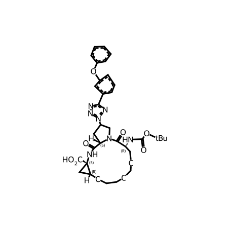 CC(C)(C)OC(=O)N[C@@H]1CCCCCCC[C@@H]2C[C@]2(C(=O)O)NC(=O)[C@@H]2CC(n3nnc(-c4cccc(Oc5ccccc5)c4)n3)CN2C1=O